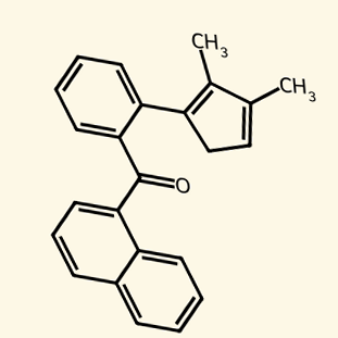 CC1=CCC(c2ccccc2C(=O)c2cccc3ccccc23)=C1C